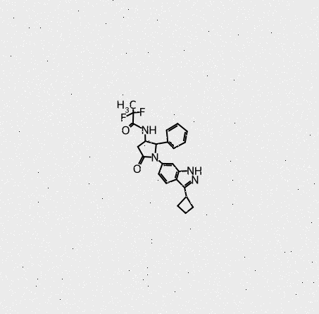 CC(F)(F)C(=O)NC1CC(=O)N(c2ccc3c(C4CCC4)n[nH]c3c2)C1c1ccccc1